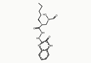 CCCCC[C@@H](CN(O)C=O)C(=O)NNc1nc2ccccc2[nH]c1=O